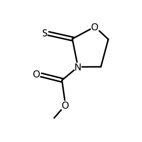 COC(=O)N1CCOC1=S